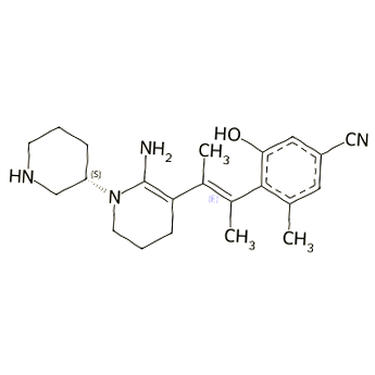 C/C(C1=C(N)N([C@H]2CCCNC2)CCC1)=C(/C)c1c(C)cc(C#N)cc1O